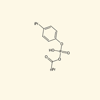 CCCC(=O)OP(=O)(O)Oc1ccc(C(C)C)cc1